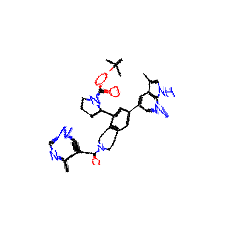 Cc1ncncc1C(=O)N1CCc2cc(-c3cnc4[nH]cc(C)c4c3)cc(C3CCCN3C(=O)OC(C)(C)C)c2C1